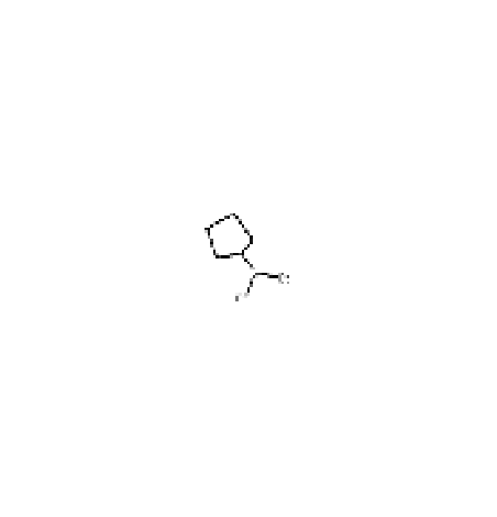 CC[Si](CC)C1CCCC1